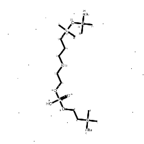 CCCC[N+](C)(C)CCOP(=O)(O)OCCOCCC[Si](C)(C)O[Si](C)(C)CCCC